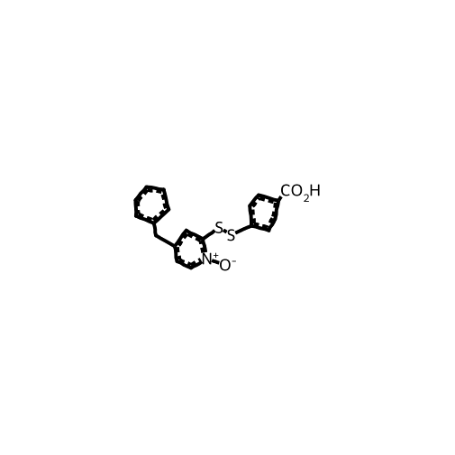 O=C(O)c1ccc(SSc2cc(Cc3ccccc3)cc[n+]2[O-])cc1